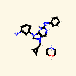 C1COCCN1.Nc1cccc(N2CN(CC3CC3)c3cnc(Nc4ccccc4)nc32)c1